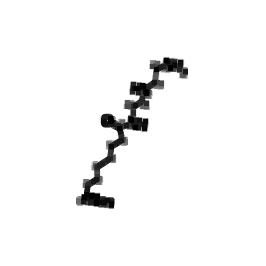 CCCCCCCCCCCCCCCC(=O)NCCNCCN